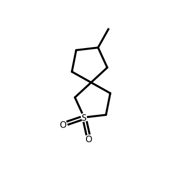 CC1CCC2(CCS(=O)(=O)C2)C1